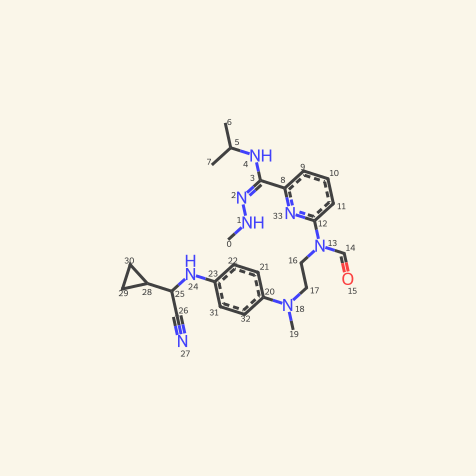 CN/N=C(/NC(C)C)c1cccc(N(C=O)CCN(C)c2ccc(NC(C#N)C3CC3)cc2)n1